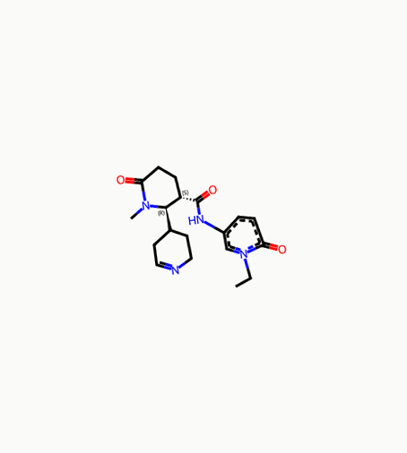 CCn1cc(NC(=O)[C@H]2CCC(=O)N(C)[C@@H]2C2CC=NCC2)ccc1=O